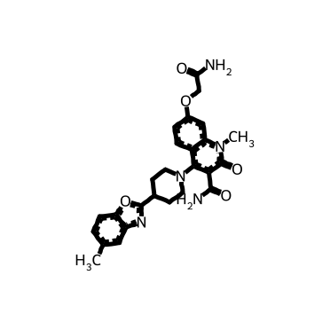 Cc1ccc2oc(C3CCN(c4c(C(N)=O)c(=O)n(C)c5cc(OCC(N)=O)ccc45)CC3)nc2c1